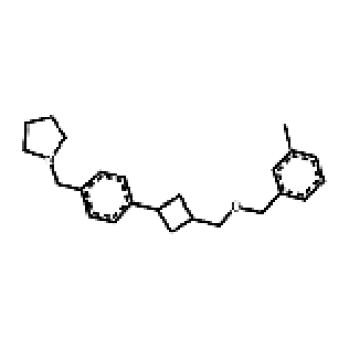 Cc1cccc(COCC2CC(c3ccc(CN4CCCC4)cc3)C2)c1